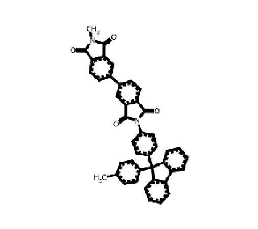 Cc1ccc(C2(c3ccc(N4C(=O)c5ccc(-c6ccc7c(c6)C(=O)N(C)C7=O)cc5C4=O)cc3)c3ccccc3-c3ccccc32)cc1